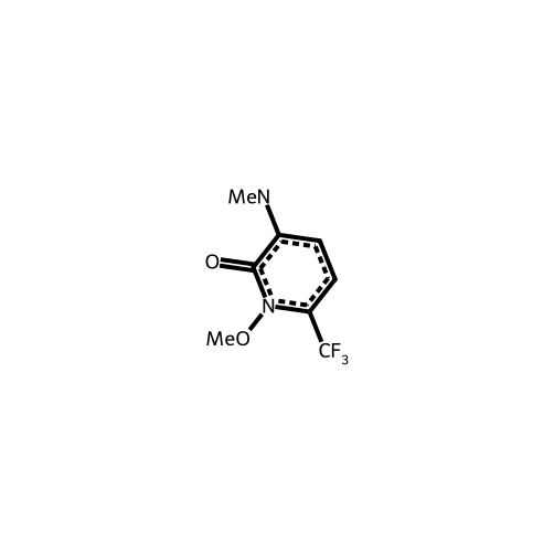 CNc1ccc(C(F)(F)F)n(OC)c1=O